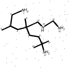 CC(CN)CC(C)(CCC(C)(C)N)CNCN